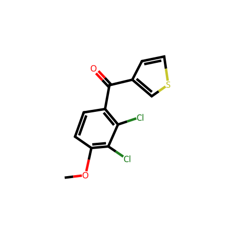 COc1ccc(C(=O)c2ccsc2)c(Cl)c1Cl